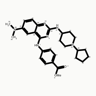 COC(=O)c1ccc(Nc2nc(NC3CCN(C4CCCC4)CC3)nc3ccc(N(C)C)cc23)cc1